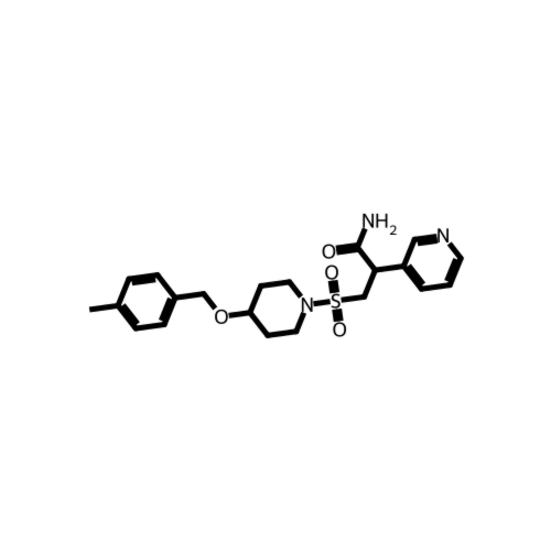 Cc1ccc(COC2CCN(S(=O)(=O)CC(C(N)=O)c3cccnc3)CC2)cc1